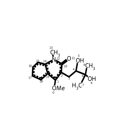 COc1c(CC(O)C(C)(C)O)c(=O)n(C)c2ccccc12